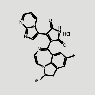 CC(C)C1Cc2cc(F)cc3c2N1C=CN=C3C1=C(c2cnc3ncccn23)C(=O)NC1=O.Cl